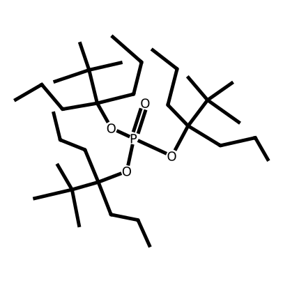 CCCC(CCC)(OP(=O)(OC(CCC)(CCC)C(C)(C)C)OC(CCC)(CCC)C(C)(C)C)C(C)(C)C